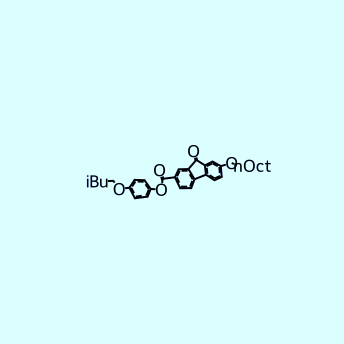 CCCCCCCCOc1ccc2c(c1)C(=O)c1cc(C(=O)Oc3ccc(OCC(C)CC)cc3)ccc1-2